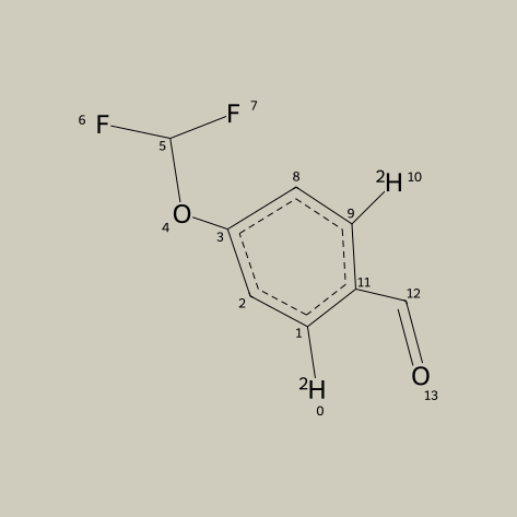 [2H]c1cc(OC(F)F)cc([2H])c1C=O